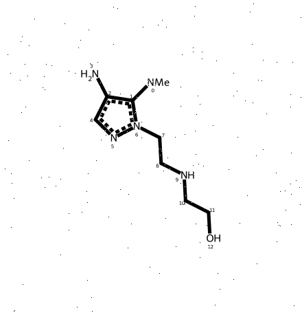 CNc1c(N)cnn1CCNCCO